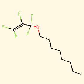 CCCCCCCCOC(F)(F)C(F)=C(F)F